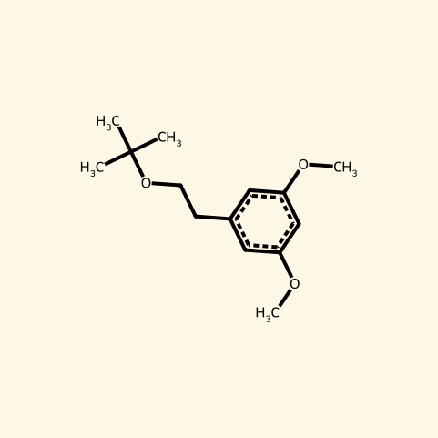 COc1cc(CCOC(C)(C)C)cc(OC)c1